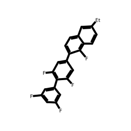 CCc1ccc2c(F)c(-c3cc(F)c(-c4cc(F)cc(F)c4)c(F)c3)ccc2c1